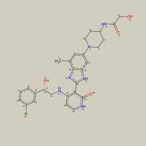 Cc1cc(N2CCC(NC(=O)CO)CC2)cc2[nH]c(-c3c(NC[C@@H](O)c4cccc(Br)c4)cc[nH]c3=O)nc12